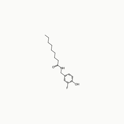 CCCCCCCCC(=O)NCc1ccc(O)c(F)c1